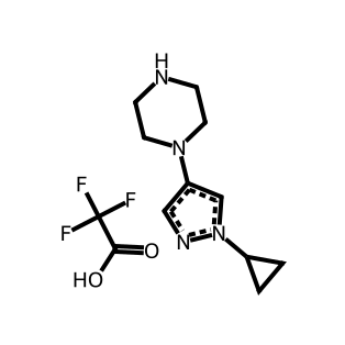 O=C(O)C(F)(F)F.c1nn(C2CC2)cc1N1CCNCC1